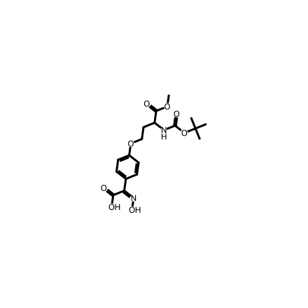 COC(=O)C(CCOc1ccc(C(=NO)C(=O)O)cc1)NC(=O)OC(C)(C)C